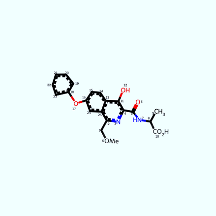 COCc1nc(C(=O)NC(C)C(=O)O)c(O)c2ccc(Oc3ccccc3)cc12